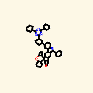 c1ccc(-c2nc(-c3ccccc3)nc(-c3cccc(-c4ccc5nc(-c6ccccc6)c6cc7c(cc6c5c4)C4(c5ccccc5Oc5ccccc54)c4ccccc4-7)c3)n2)cc1